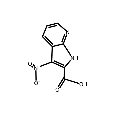 O=C(O)c1[nH]c2ncccc2c1[N+](=O)[O-]